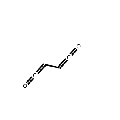 O=C=CC=C=O